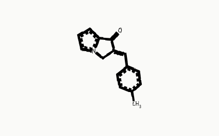 Cc1ccc(/C=C2\Cn3cccc3C2=O)cc1